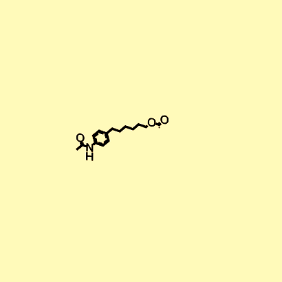 CC(=O)Nc1ccc(CCCCCCO[C]=O)cc1